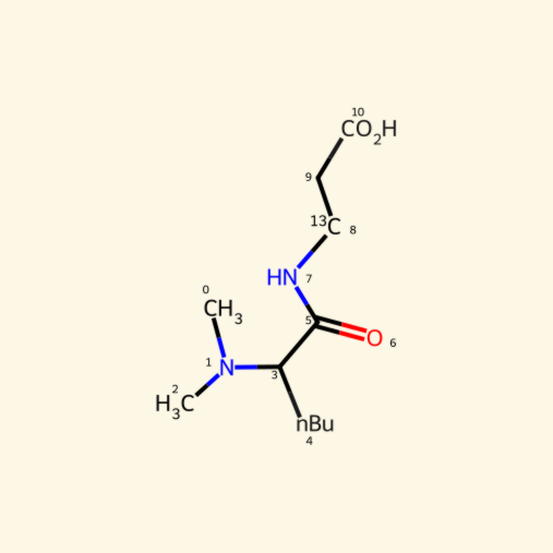 CN(C)C(CCC[13CH3])C(=O)N[13CH2]CC(=O)O